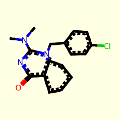 CN(C)c1nc(=O)c2ccccc2n1Cc1ccc(Cl)cc1